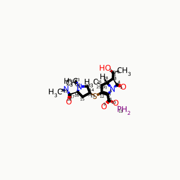 C[C@@H](O)[C@H]1C(=O)N2C(C(=O)OP)=C(S[C@H]3C[C@@H](C(=O)N(C)C)N(C)C3)[C@H](C)[C@H]12